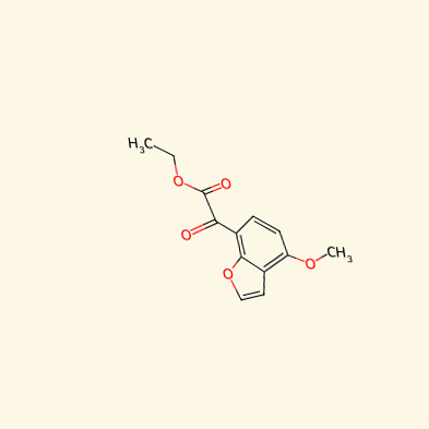 CCOC(=O)C(=O)c1ccc(OC)c2ccoc12